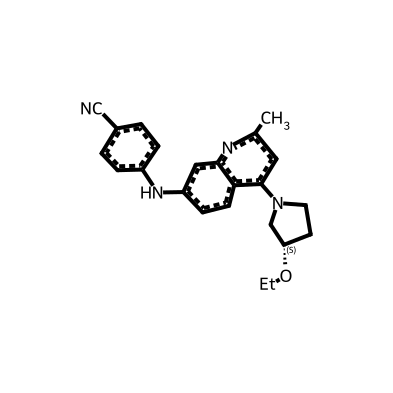 CCO[C@H]1CCN(c2cc(C)nc3cc(Nc4ccc(C#N)cc4)ccc23)C1